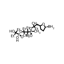 B[C@H]1CCC(CC(C)(CC)OP(C)(=O)C(CC)(CC)C(C)(CC)OP(=O)(O)C(O)(CC)CC)O1